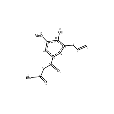 C=CCc1cc(C(=O)CC(=O)C(C)(C)C)cc(OC)c1O